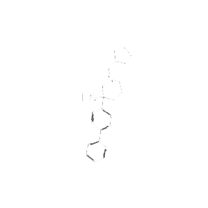 NC1(c2ccc(-c3ccccc3)cc2)CCCN(CC2CCCC2)C1